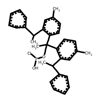 Cc1ccc(C(C)(OP(O)Cl)c2ccc(C)cc2C(C)c2ccccc2)c(C(C)c2ccccc2)c1